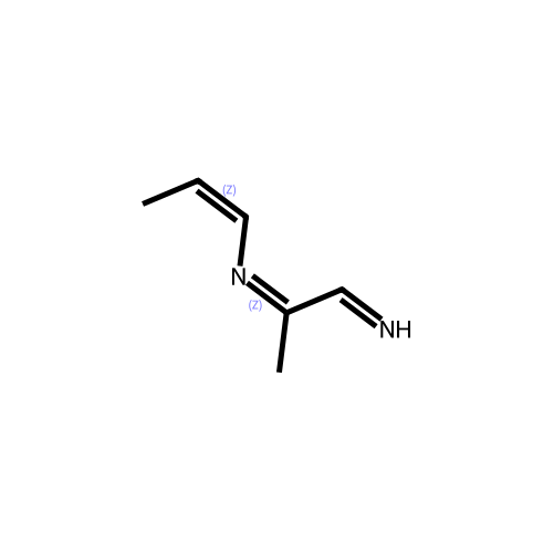 C/C=C\N=C(\C)C=N